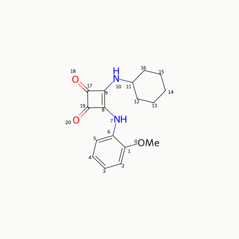 COc1ccccc1Nc1c(NC2CCCCC2)c(=O)c1=O